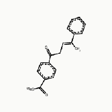 COC(=O)c1ccc(C(=O)C/C=C(\C)c2ccccc2)cc1